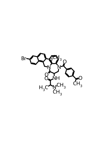 COc1ccc2cc(Br)ccc2c1CN1C(=O)C(NC(=O)C(C)N(C)C)CN(C(=O)c2ccc(C(C)=O)cc2)c2ccccc21